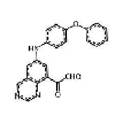 O=CC(=O)c1cc(Nc2ccc(Oc3ccccc3)cc2)cc2cncnc12